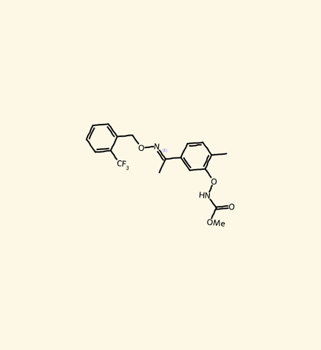 COC(=O)NOc1cc(/C(C)=N/OCc2ccccc2C(F)(F)F)ccc1C